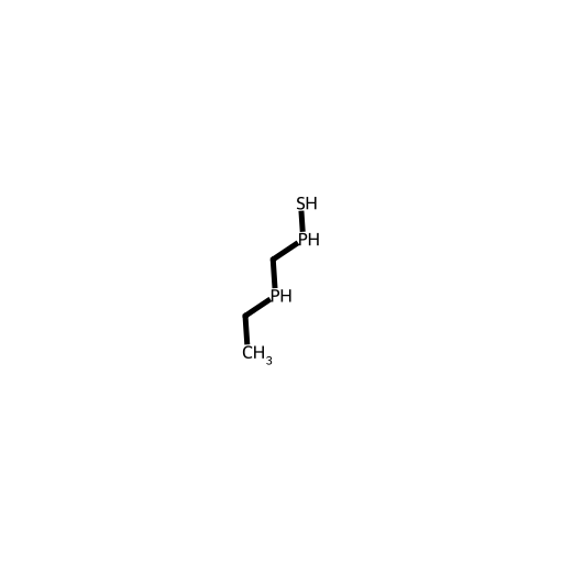 CCPCPS